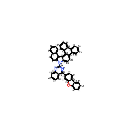 c1ccc2c(c1)ccc1c2c2c3c4ccccc4c4ccccc4c3ccc2n1-c1nc(-c2ccc3c(c2)oc2ccccc23)c2ccccc2n1